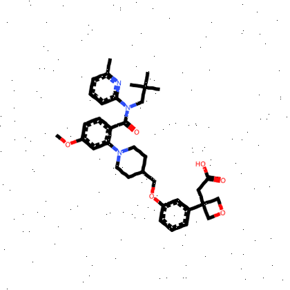 COc1ccc(C(=O)N(CC(C)(C)C)c2cccc(C)n2)c(N2CCC(COc3cccc(C4(CC(=O)O)COC4)c3)CC2)c1